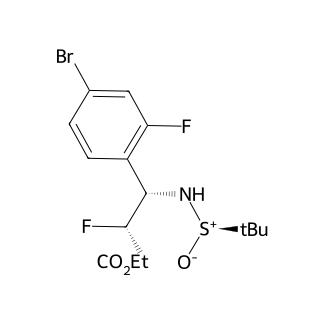 CCOC(=O)[C@H](F)[C@@H](N[S@+]([O-])C(C)(C)C)c1ccc(Br)cc1F